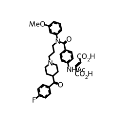 COc1cccc(N(CCCN2CCC(C(=O)c3ccc(F)cc3)CC2)C(=O)c2ccc(NC(C)=O)cc2)c1.O=C(O)/C=C/C(=O)O